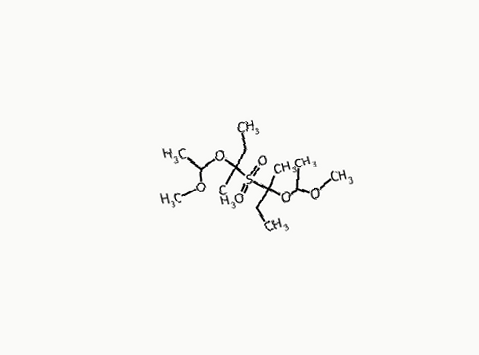 CCC(C)(OC(C)OC)S(=O)(=O)C(C)(CC)OC(C)OC